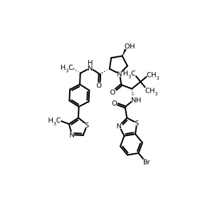 Cc1ncsc1-c1ccc([C@H](C)NC(=O)[C@@H]2C[C@@H](O)CN2C(=O)[C@@H](NC(=O)c2nc3ccc(Br)cc3s2)C(C)(C)C)cc1